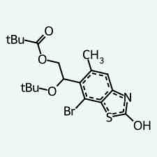 Cc1cc2nc(O)sc2c(Br)c1C(COC(=O)C(C)(C)C)OC(C)(C)C